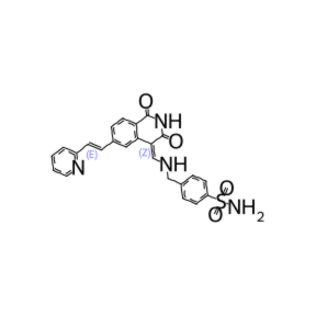 NS(=O)(=O)c1ccc(CN/C=C2\C(=O)NC(=O)c3ccc(/C=C/c4ccccn4)cc32)cc1